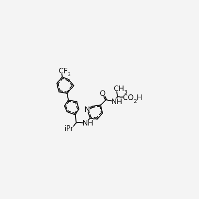 CC(NC(=O)c1ccc(NC(c2ccc(-c3ccc(C(F)(F)F)cc3)cc2)C(C)C)nc1)C(=O)O